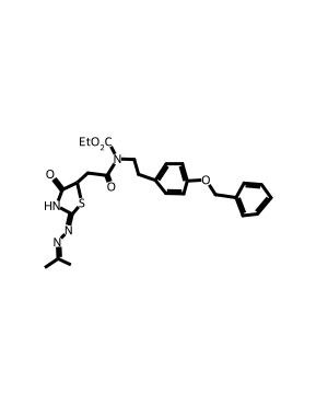 CCOC(=O)N(CCc1ccc(OCc2ccccc2)cc1)C(=O)CC1SC(=NN=C(C)C)NC1=O